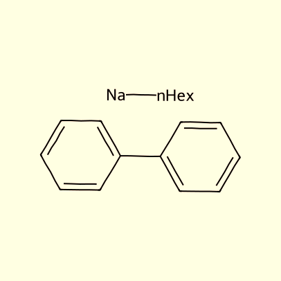 CCCCC[CH2][Na].c1ccc(-c2ccccc2)cc1